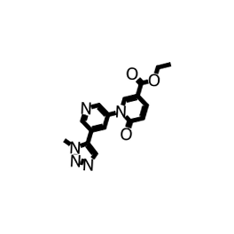 CCOC(=O)c1ccc(=O)n(-c2cncc(-c3cnnn3C)c2)c1